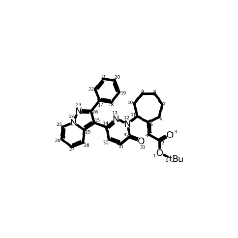 CC(C)(C)OC(=O)/C=C1\CCCCCC1n1nc(-c2c(-c3ccccc3)nn3ccccc23)ccc1=O